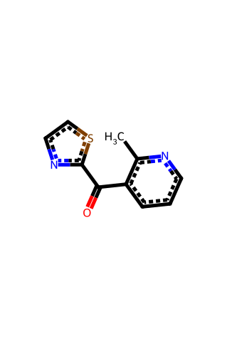 Cc1ncccc1C(=O)c1nccs1